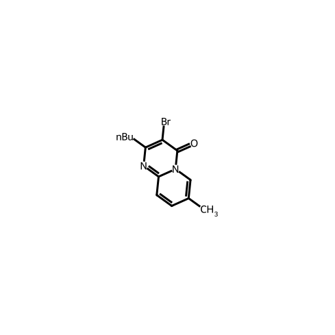 CCCCc1nc2ccc(C)cn2c(=O)c1Br